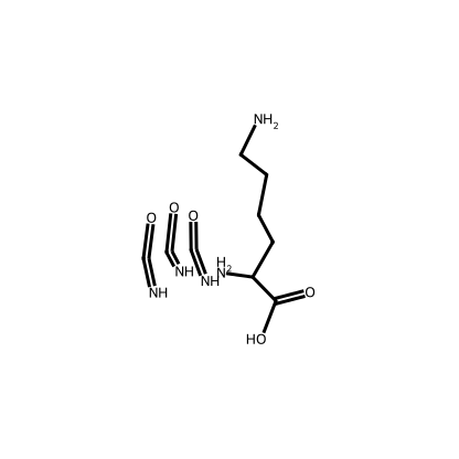 N=C=O.N=C=O.N=C=O.NCCCCC(N)C(=O)O